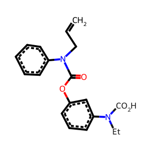 C=CCN(C(=O)Oc1cccc(N(CC)C(=O)O)c1)c1ccccc1